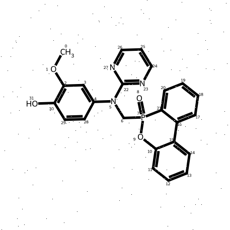 COc1cc(N(CP2(=O)Oc3ccccc3-c3ccccc32)c2ncccn2)ccc1O